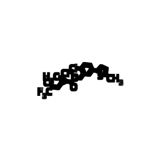 Cc1ccc(-c2ccc(Cl)c(COC(=O)C3C(/C=C(\Cl)C(F)(F)F)C3(C)C)c2)s1